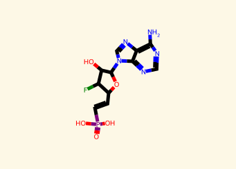 Nc1ncnc2c1ncn2C1OC(C=CP(=O)(O)O)C(F)C1O